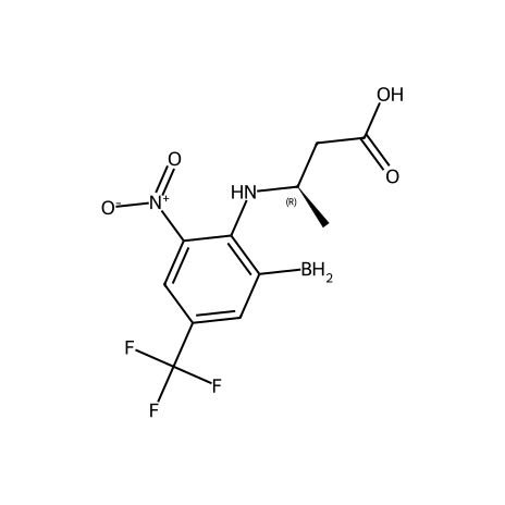 Bc1cc(C(F)(F)F)cc([N+](=O)[O-])c1N[C@H](C)CC(=O)O